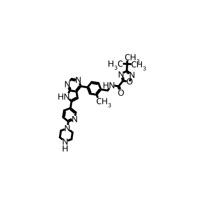 Cc1cc(-c2ncnc3[nH]c(-c4ccc(N5CCNCC5)nc4)cc23)ccc1CNC(=O)c1nc(C(C)(C)C)no1